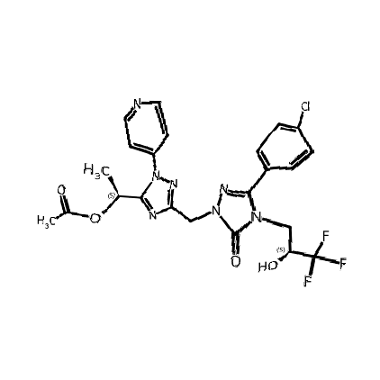 CC(=O)O[C@@H](C)c1nc(Cn2nc(-c3ccc(Cl)cc3)n(C[C@H](O)C(F)(F)F)c2=O)nn1-c1ccncc1